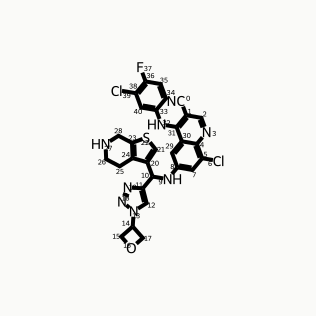 N#Cc1cnc2c(Cl)cc(NC(c3cn(C4COC4)nn3)c3csc4c3CCNC4)cc2c1Nc1ccc(F)c(Cl)c1